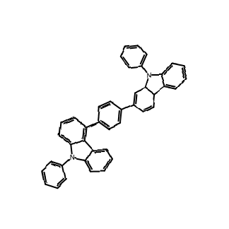 C1=CC2c3ccccc3N(c3ccccc3)C2C=C1c1ccc(-c2cccc3c2c2ccccc2n3-c2ccccc2)cc1